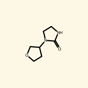 O=C1NCCN1C1CCOC1